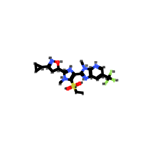 CCS(=O)(=O)c1c(-c2nc3cc(C(F)(F)F)cnc3n2C)nc(C2CC(C3CC3)=NO2)n1C